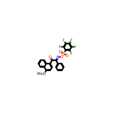 COc1ccc(C(=O)/C(=N/OS(=O)(=O)c2c(F)c(F)c(F)c(F)c2F)c2ccccc2)c2ccccc12